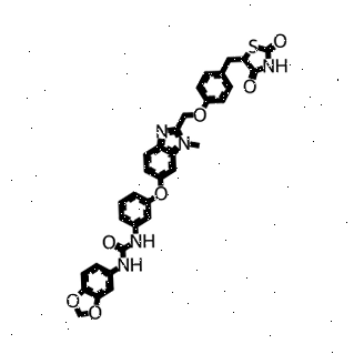 Cn1c(COc2ccc(CC3SC(=O)NC3=O)cc2)nc2ccc(Oc3cccc(NC(=O)Nc4ccc5c(c4)OCO5)c3)cc21